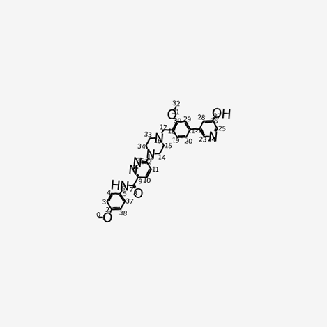 COc1ccc(NC(=O)c2ccc(N3CCN(Cc4ccc(-c5cncc(O)c5)cc4OC)CC3)nn2)cc1